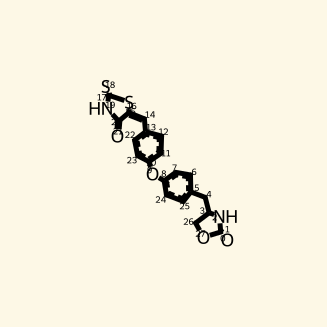 O=C1NC(Cc2ccc(Oc3ccc(/C=C4/SC(=S)NC4=O)cc3)cc2)CO1